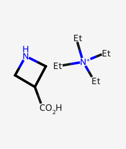 CC[N+](CC)(CC)CC.O=C(O)C1CNC1